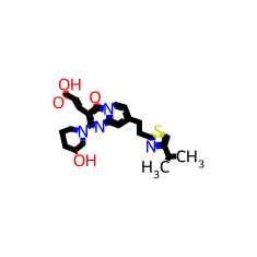 CC(C)c1csc(CCc2ccn3c(=O)c(C=CC(=O)O)c(N4CCC[C@H](O)C4)nc3c2)n1